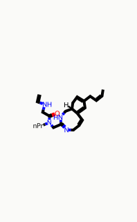 C=CNCC(=O)N(CCC)C/C1=N/C/C=C\C2=CC(C/C=C\C)=CC[C@H]2CN1